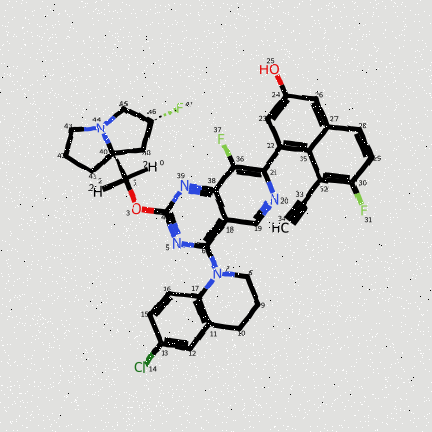 [2H]C([2H])(Oc1nc(N2CCCc3cc(Cl)ccc32)c2cnc(-c3cc(O)cc4ccc(F)c(C#C)c34)c(F)c2n1)[C@@]12CCCN1C[C@H](F)C2